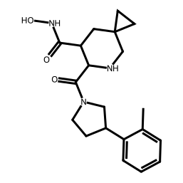 Cc1ccccc1C1CCN(C(=O)C2NCC3(CC3)CC2C(=O)NO)C1